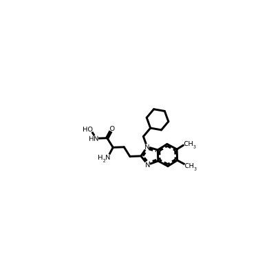 Cc1cc2nc(CCC(N)C(=O)NO)n(CC3CCCCC3)c2cc1C